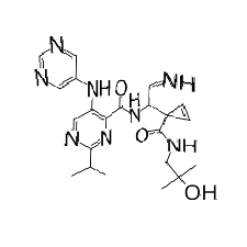 CC(C)c1ncc(Nc2cncnc2)c(C(=O)NC(C=N)C2(C(=O)NCC(C)(C)O)C=C2)n1